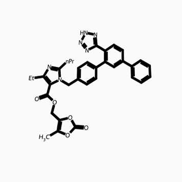 CCCc1nc(CC)c(C(=O)OCc2oc(=O)oc2C)n1Cc1ccc(-c2cc(-c3ccccc3)ccc2-c2nn[nH]n2)cc1